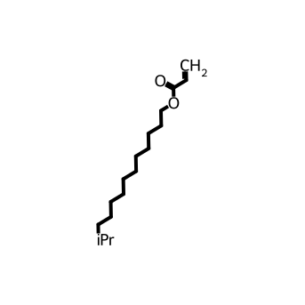 C=CC(=O)OCCCCCCCCCCCC(C)C